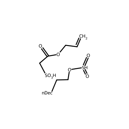 C=CCOC(=O)CS(=O)(=O)O.CCCCCCCCCCCCO[SH](=O)=O